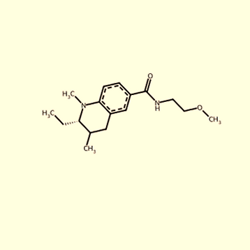 CC[C@H]1C(C)Cc2cc(C(=O)NCCOC)ccc2N1C